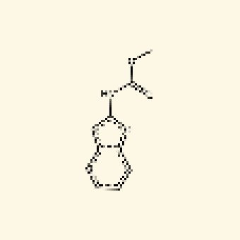 COC(=O)Nc1cc2ccccc2o1